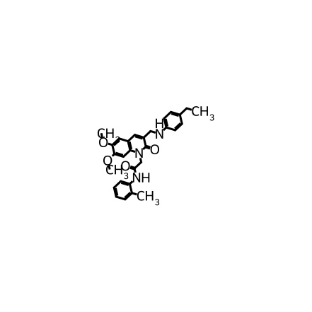 CCc1ccc(NCc2cc3cc(OC)c(OC)cc3n(CC(=O)Nc3ccccc3C)c2=O)cc1